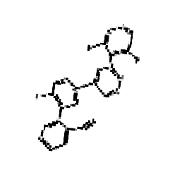 N#Cc1ccccc1-c1cc(-c2cnnc(-c3c(F)cncc3F)c2)ccc1F